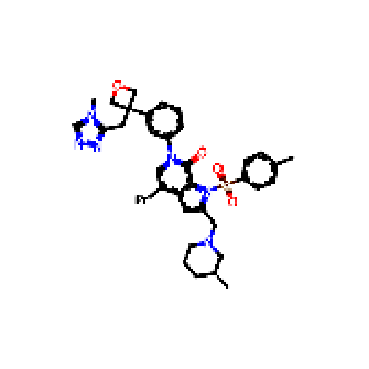 Cc1ccc(S(=O)(=O)n2c(CN3CCC[C@H](C)C3)cc3c(C(C)C)cn(-c4cccc(C5(Cc6nncn6C)COC5)c4)c(=O)c32)cc1